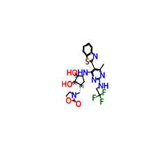 Cc1nc(NCC(F)(F)F)nc(NC2C[C@H](CN3CCOC3=O)[C@@H](O)[C@H]2O)c1-c1nc2ccccc2s1